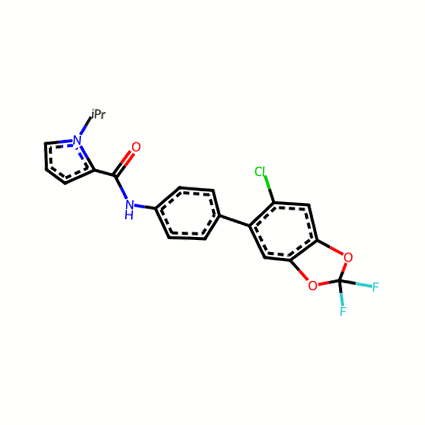 CC(C)n1cccc1C(=O)Nc1ccc(-c2cc3c(cc2Cl)OC(F)(F)O3)cc1